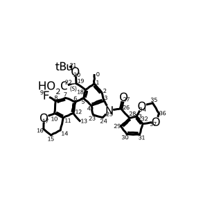 Cc1cc2c(c(-c3cc(F)c4c(c3C)CCCO4)c1[C@H](OC(C)(C)C)C(=O)O)CCN2C(=O)c1cccc2c1OCCO2